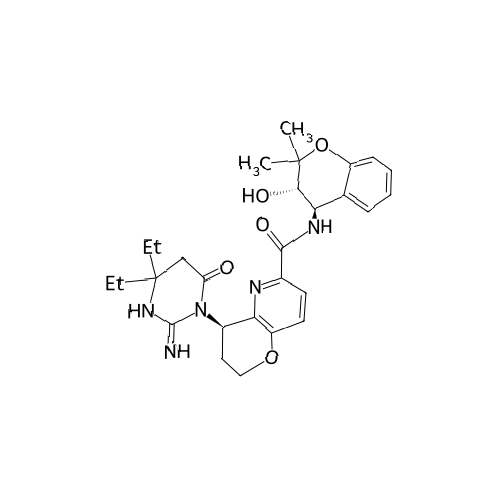 CCC1(CC)CC(=O)N([C@@H]2CCOc3ccc(C(=O)N[C@@H]4c5ccccc5OC(C)(C)[C@H]4O)nc32)C(=N)N1